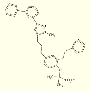 CCOC(=O)C(C)(C)Oc1ccc(OCCc2nc(-c3cccc(-c4ccccc4)c3)oc2C)cc1CCc1ccccc1